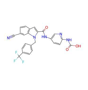 N#Cc1ccc2cc(C(=O)Nc3ccc(NC(=O)O)nc3)n(Cc3ccc(C(F)(F)F)cc3)c2c1